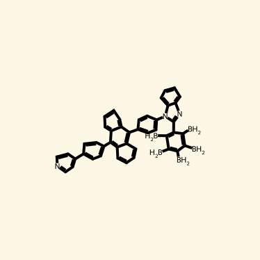 Bc1c(B)c(B)c(-c2nc3ccccc3n2-c2ccc(-c3c4ccccc4c(-c4ccc(-c5ccncc5)cc4)c4ccccc34)cc2)c(B)c1B